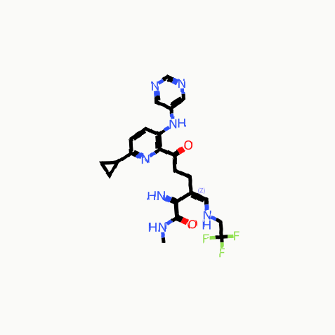 CNC(=O)C(=N)/C(=C\NCC(F)(F)F)CCC(=O)c1nc(C2CC2)ccc1Nc1cncnc1